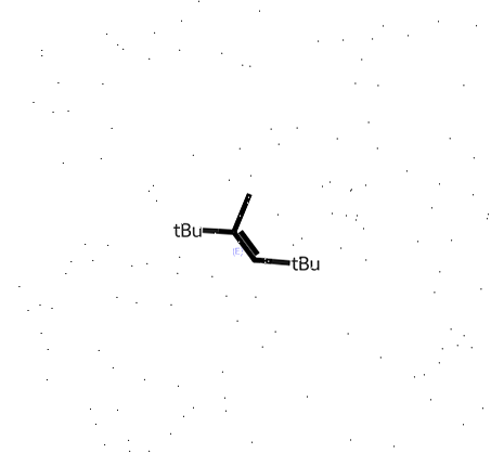 C/C(=C\C(C)(C)C)C(C)(C)C